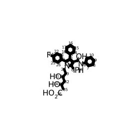 CC(C)c1c(C(O)Nc2ccccc2)c(-c2ccccc2)c(-c2ccc(F)cc2)n1CC[C@@H](O)C[C@@H](O)CC(=O)O